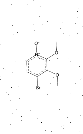 COc1c(Br)c[c][n+]([O-])c1OC